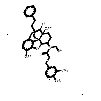 CC(=O)Oc1ccc2c3c1OC1C(N(CC(C)C)C(=O)CCc4ccc(C)c(C)c4)CC[C@@]4(OC(C)=O)[C@@H](C2)N(CCc2ccccc2)CC[C@]314